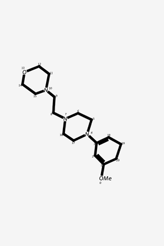 COC1=CC(N2CCN(CCN3CCOCC3)CC2)=CC[CH]1